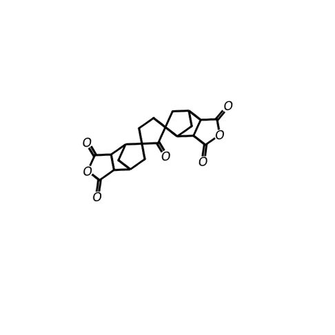 O=C1OC(=O)C2C1C1CC2C2(CCC3(CC4CC3C3C(=O)OC(=O)C43)C2=O)C1